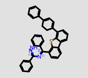 N/N=C(\N=C(/c1ccccc1)c1cccc2c1sc1c(C3=CC=C(c4ccccc4)CC3)cccc12)c1ccccc1